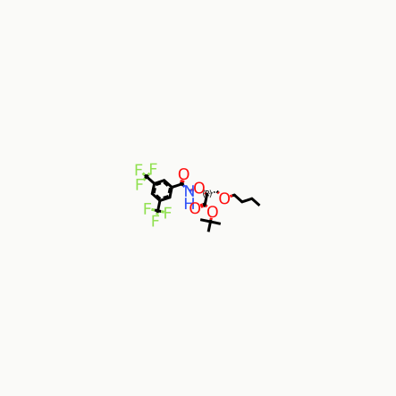 CCCCOC[C@@H](ONC(=O)c1cc(C(F)(F)F)cc(C(F)(F)F)c1)C(=O)OC(C)(C)C